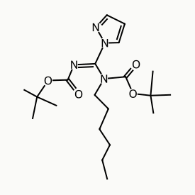 CCCCCCN(C(=O)OC(C)(C)C)/C(=N\C(=O)OC(C)(C)C)n1cccn1